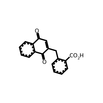 O=C(O)c1ccccc1CC1=CC(=O)c2ccccc2C1=O